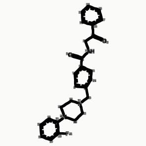 O=C(CNC(=O)c1ccc(CN2CCN(c3ccccc3F)CC2)cc1)c1ccccc1